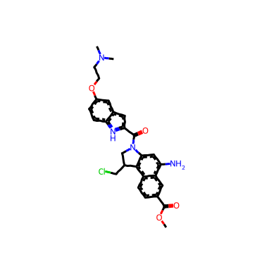 COC(=O)c1ccc2c3c(cc(N)c2c1)N(C(=O)c1cc2cc(OCCN(C)C)ccc2[nH]1)CC3CCl